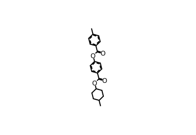 Cc1ccc(C(=O)Oc2ccc(C(=O)OC3CCC(C)CC3)cc2)cc1